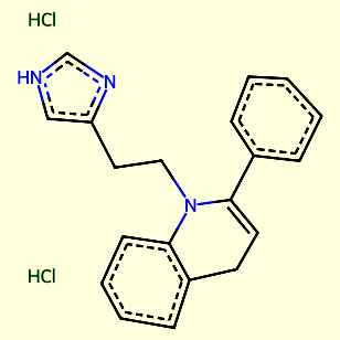 C1=C(c2ccccc2)N(CCc2c[nH]cn2)c2ccccc2C1.Cl.Cl